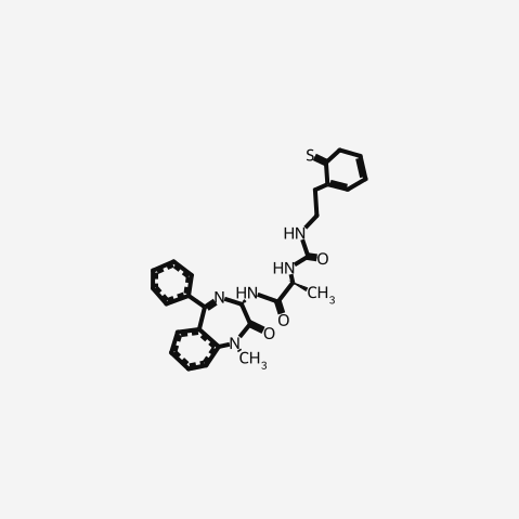 C[C@H](NC(=O)NCCC1=CC=CCC1=S)C(=O)N[C@H]1N=C(c2ccccc2)c2ccccc2N(C)C1=O